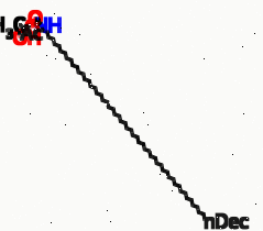 CCCCCCCCCCCCCCCCCCCCCCCCCCCCCCCCCCCCCCCCCCCCCCCCCCCCCCCCCCCCCCCCCNC(=O)OCC(C)(CO)C(C)=O